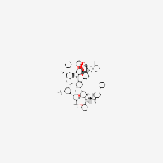 CC(C)(C)c1ccc2c(c1)-c1cc(C(C)(C)C)ccc1C2c1c(-c2ccc3c(c2)n2c4cc(-c5ccccc5)ccc4nc2n3-c2ccccc2)cc(-c2ccc3c(c2)N2C(=[SH]c4ccc(-c5ccccc5)cc42)N3c2ccccc2)c(-n2c3ccc(C(C)(C)C)cc3c3cc(C(C)(C)C)ccc32)c1C#N